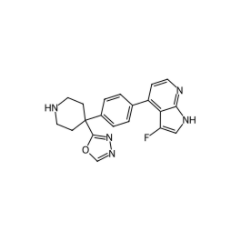 Fc1c[nH]c2nccc(-c3ccc(C4(c5nnco5)CCNCC4)cc3)c12